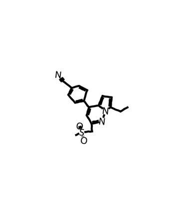 CCc1ccc2c(-c3ccc(C#N)cc3)cc(CS(C)(=O)=O)nn12